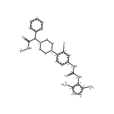 CCNC(=O)C(c1ccccc1)N1CCN(c2ccc(NC(=O)Nc3c(C)noc3C)cc2F)CC1